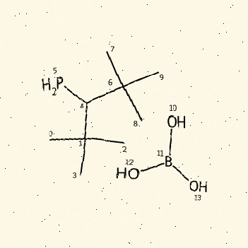 CC(C)(C)C(P)C(C)(C)C.OB(O)O